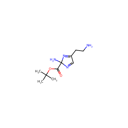 CC(C)(C)OC(=O)C1(N)N=CC(CCN)=N1